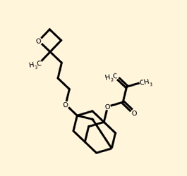 C=C(C)C(=O)OC12CC3CC(CC(OCCCC4(C)CCO4)(C3)C1)C2